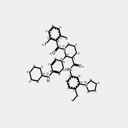 CCc1ccc(NC(=O)C2CCCN(C(=O)c3c(C)cccc3F)C2[C@@H]2C=CC(NC3CCCCC3)=CC2)cc1N1CCCC1